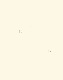 Cc1nc(C(C)(C)CCc2nc(C(C)(C)C)co2)cs1